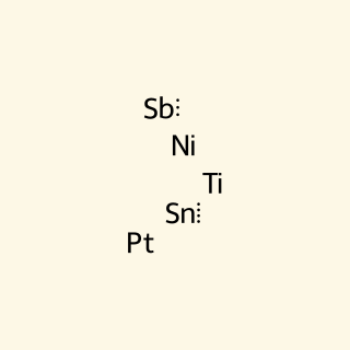 [Ni].[Pt].[Sb].[Sn].[Ti]